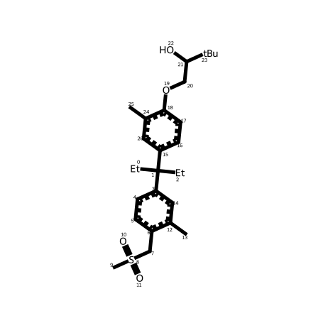 CCC(CC)(c1ccc(CS(C)(=O)=O)c(C)c1)c1ccc(OCC(O)C(C)(C)C)c(C)c1